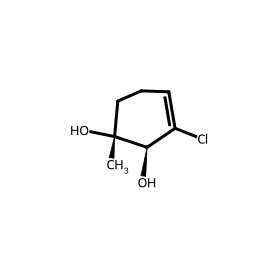 C[C@@]1(O)CCC=C(Cl)[C@H]1O